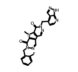 Cn1c2c(=O)n(Cc3ccccc3F)ncc2c2cnn(Cc3ccnc4[nH]ncc34)c(=O)c21